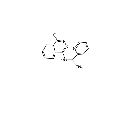 C[C@H](Nc1nnc(Cl)c2ccccc12)c1ccccn1